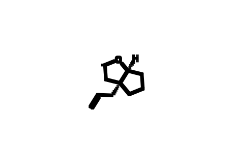 C=CC[C@]12C[CH]O[C@H]1CCC2